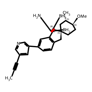 BC1(B)OC(N)=N[C@]12c1cc(-c3cncc(C#CC)c3)ccc1C[C@@]21CC[C@H](OC)[C@@H](C)C1